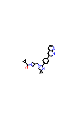 O=C(C1CC1)N1CC(CN2CC3(CC3)N=C2c2ccc(-c3cnc4ncccc4c3)cc2)C1